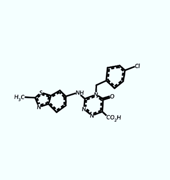 Cc1nc2ccc(Nc3nnc(C(=O)O)c(=O)n3Cc3ccc(Cl)cc3)cc2s1